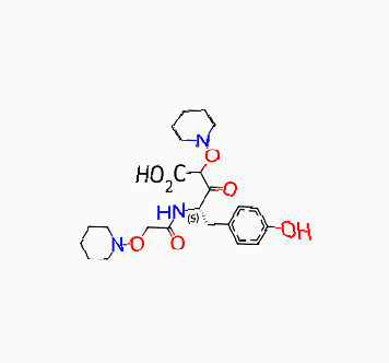 O=C(CON1CCCCC1)N[C@@H](Cc1ccc(O)cc1)C(=O)C(ON1CCCCC1)C(=O)O